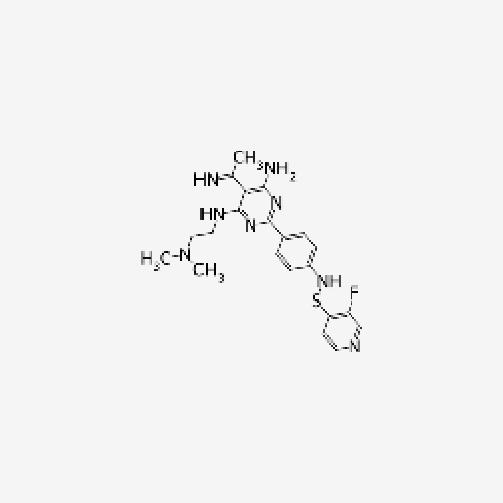 CC(=N)c1c(N)nc(-c2ccc(NSc3ccncc3F)cc2)nc1NCCN(C)C